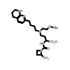 CC1CCN1C(=O)NC(CCN(CCCCc1ccc2c(n1)NCCC2)CCOC(C)(C)C)C(=O)O